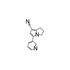 N#Cc1cc(-c2cccnc2)n2c1CCC2